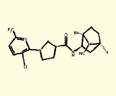 N#CN1[C@H]2CC[C@@H]1[C@H](NC(=O)[C@H]1CCN(c3nc(C(F)(F)F)ccc3Cl)C1)C2